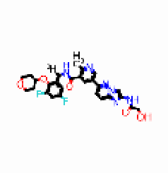 [2H]C(NC(=O)c1cc(-c2ccc3nc(NC(=O)CO)cn3n2)cnc1C)c1cc(F)cc(F)c1OC1CCOCC1